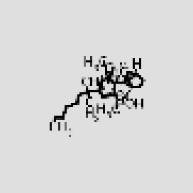 CCCCCCC(C)(C)c1cc(OC)c(C2=C(C)[C@@H]3CC[C@@]2(C(=O)O)C3(C)C)c(OC)c1